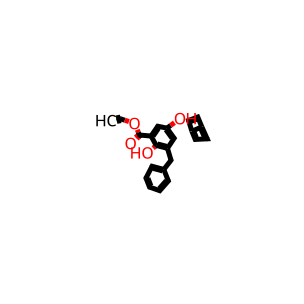 C#COC(=O)c1cc(O)cc(Cc2ccccc2)c1O.c1cc2ccc1-2